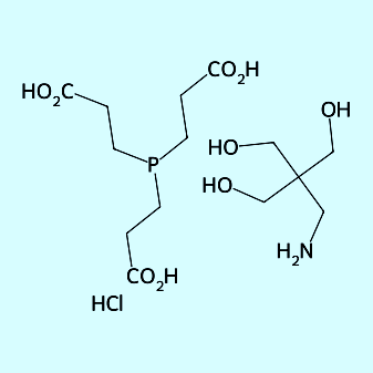 Cl.NCC(CO)(CO)CO.O=C(O)CCP(CCC(=O)O)CCC(=O)O